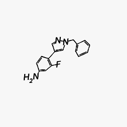 Nc1ccc(-c2cnn(Cc3ccccc3)c2)c(F)c1